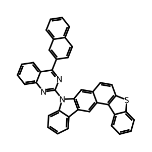 c1ccc2cc(-c3nc(-n4c5ccccc5c5cc6c(ccc7sc8ccccc8c76)cc54)nc4ccccc34)ccc2c1